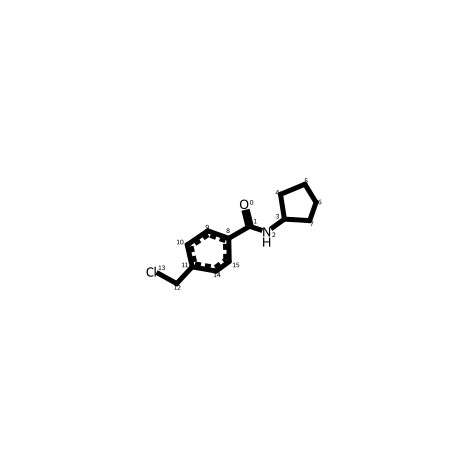 O=C(NC1CCCC1)c1ccc(CCl)cc1